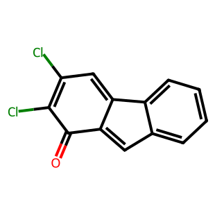 O=C1C2=Cc3ccccc3C2=CC(Cl)=C1Cl